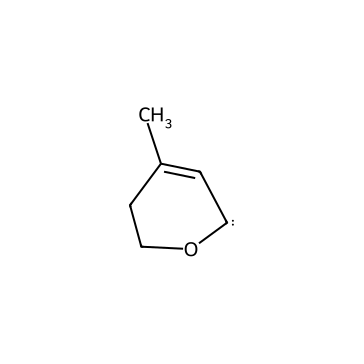 CC1=C[C]OCC1